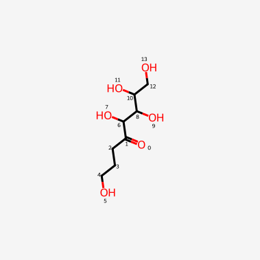 O=C(CCCO)C(O)C(O)C(O)CO